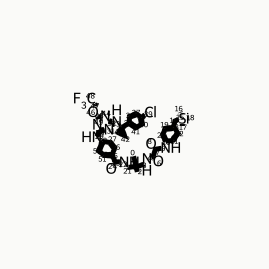 CC(C)(CNC(=O)C(=O)Nc1ccc(C[Si](C)(C)C)cc1)CNC(=O)c1ccc(Nc2nc(NC3(c4ccc(Cl)cc4)CC3)nc(OCC(F)(F)F)n2)cc1